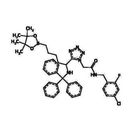 CC1(C)OB(CCCCC(NC(c2ccccc2)(c2ccccc2)c2ccccc2)c2nnnn2CC(=O)NCc2ccc(Cl)cc2F)OC1(C)C